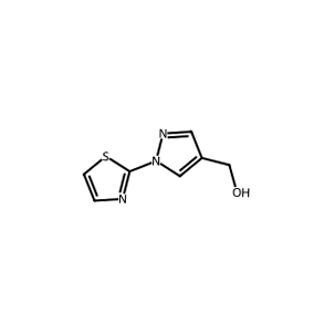 OCc1cnn(-c2nccs2)c1